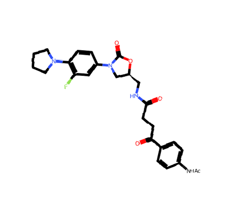 CC(=O)Nc1ccc(C(=O)CCC(=O)NC[C@H]2CN(c3ccc(N4CCCC4)c(F)c3)C(=O)O2)cc1